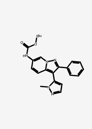 Cn1nccc1-c1c(-c2ccccc2)nn2cc(NC(=O)OC(C)(C)C)ccc12